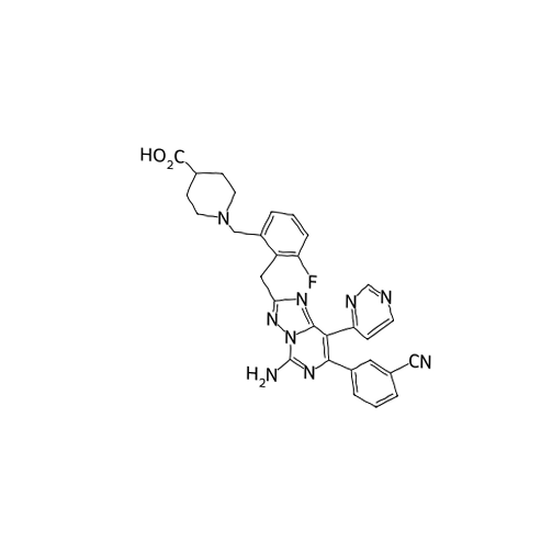 N#Cc1cccc(-c2nc(N)n3nc(Cc4c(F)cccc4CN4CCC(C(=O)O)CC4)nc3c2-c2ccncn2)c1